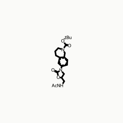 CC(=O)NCC1CN(c2ccc3c(c2)CCCN(C(=O)OC(C)(C)C)C3)C(=O)O1